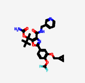 CC(C)(C)C(C)(OC(N)=O)c1oc(-c2ccc(OC(F)F)c(OCC3CC3)c2)nc1C(=O)NCc1cccnc1